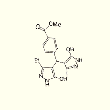 CCc1n[nH]c(O)c1C(c1ccc(C(=O)OC)cc1)c1c(C)n[nH]c1O